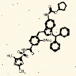 COc1cc(C(=O)NS(=O)(=O)c2sc(C)nc2C)ccc1Cc1cn(C(c2ccccc2)c2ccccc2)c2ccc(NC(=O)OC3CCCC3)cc12